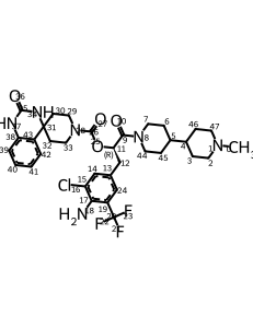 CN1CCC(C2CCN(C(=O)[C@@H](Cc3cc(Cl)c(N)c(C(F)(F)F)c3)OC(=O)N3CCC4(CC3)NC(=O)Nc3ccccc34)CC2)CC1